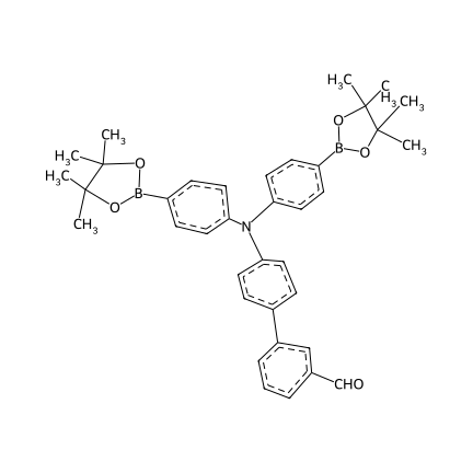 CC1(C)OB(c2ccc(N(c3ccc(B4OC(C)(C)C(C)(C)O4)cc3)c3ccc(-c4cccc(C=O)c4)cc3)cc2)OC1(C)C